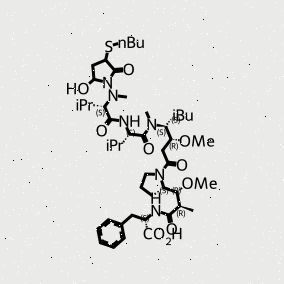 CCCCSC1CC(O)N(N(C)[C@H](C(=O)N[C@H](C(=O)N(C)[C@@H]([C@@H](C)CC)[C@@H](CC(=O)N2CCC[C@H]2[C@H](OC)[C@@H](C)C(=O)N[C@@H](Cc2ccccc2)C(=O)O)OC)C(C)C)C(C)C)C1=O